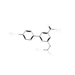 COc1ccc(-c2cc(C[C@H](C)C(C)=O)cc(C(N)=O)c2)cc1